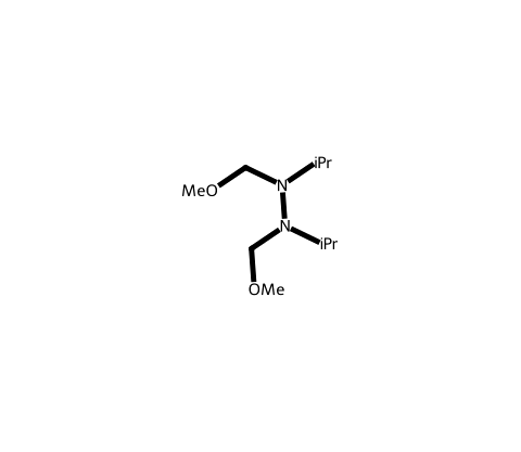 COCN(C(C)C)N(COC)C(C)C